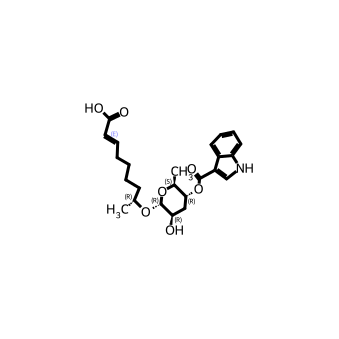 C[C@H](CCCC/C=C/C(=O)O)O[C@@H]1O[C@@H](C)[C@H](OC(=O)c2c[nH]c3ccccc23)C[C@H]1O